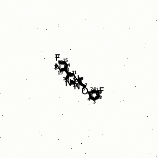 Fc1cccc(OCc2cn3cc(-c4ccc(F)nc4)cnc3n2)c1